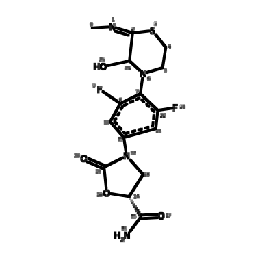 C/N=C1/SCCN(c2c(F)cc(N3C[C@H](C(N)=O)OC3=O)cc2F)C1O